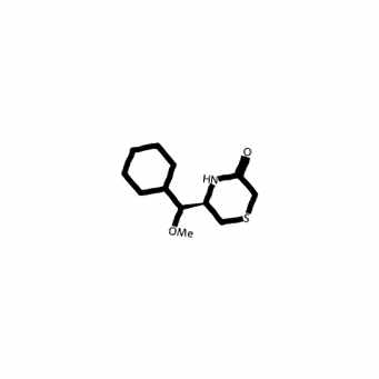 COC(C1CCCCC1)[C@@H]1CSCC(=O)N1